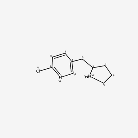 Clc1ccc(CC2CCCN2)cn1